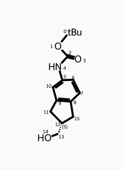 CC(C)(C)OC(=O)Nc1ccc2c(c1)C[C@@H](CO)C2